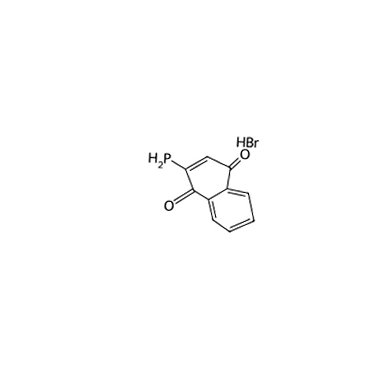 Br.O=C1C=C(P)C(=O)c2ccccc21